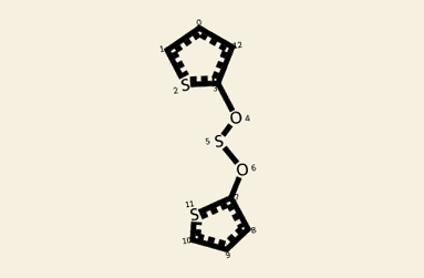 c1csc(OSOc2cccs2)c1